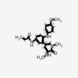 C=CC(=O)Nc1ccc(Nc2ccc(OC)cc2)c(-c2cc(NC)c(=O)n(C)c2)c1